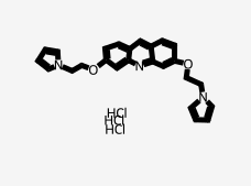 Cl.Cl.Cl.c1ccn(CCOc2ccc3cc4ccc(OCCn5cccc5)cc4nc3c2)c1